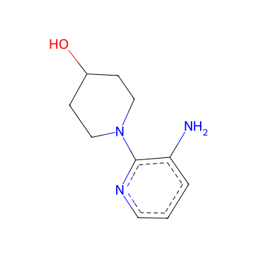 Nc1cccnc1N1CCC(O)CC1